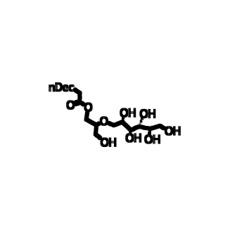 CCCCCCCCCCCC(=O)OCC(CO)OC[C@H](O)[C@@H](O)[C@H](O)[C@H](O)CO